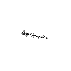 CCCCCCCCCCCCCCCCCCCCCC[Si](C)(C)[O]